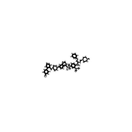 CN1CCN(CC[C@H](CSc2ccccc2)Nc2ccc(S(=O)(=O)Nc3ncnc4cc(N5CCN(Cc6ccccc6-c6ccc(Cl)cc6)CC5)ccc34)cc2[N+](=O)[O-])CC1